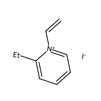 C=C[n+]1ccccc1CC.[I-]